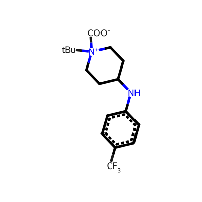 CC(C)(C)[N+]1(C(=O)[O-])CCC(Nc2ccc(C(F)(F)F)cc2)CC1